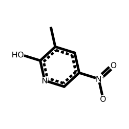 Cc1cc([N+](=O)[O-])cnc1O